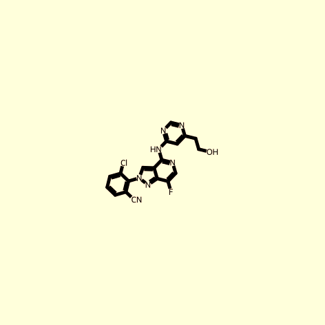 N#Cc1cccc(Cl)c1-n1cc2c(Nc3cc(CCO)ncn3)ncc(F)c2n1